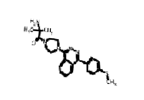 CSc1ccc(-c2nnc(N3CCN(C(=O)C(C)(C)N)CC3)c3ccccc23)cc1